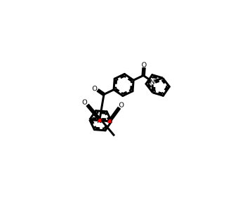 O=C(c1ccc(C(=O)n2c3ccc2cc3)cc1)n1c(=O)c2ccc(cc2)c1=O